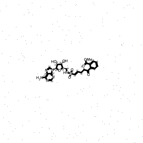 COC(=O)c1ccccc1C(=O)CC/C=C/S(=O)(=O)NC[C@H]1O[C@@H](n2cnc3c(N)ncnc32)[C@H](O)[C@@H]1O